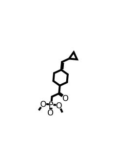 COP(=O)(CC(=O)C1CCC(=CC2CC2)CC1)OC